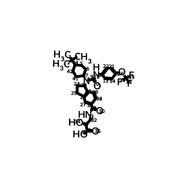 CC(C)(C)C1CCC(N(C(=O)Nc2ccc(OC(F)(F)F)cc2)C2CCc3cc(C(=O)NCC(O)C(=O)O)ccc32)CC1